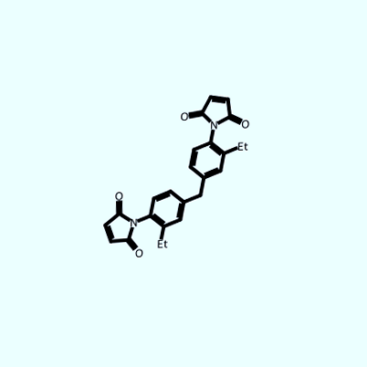 CCc1cc(Cc2ccc(N3C(=O)C=CC3=O)c(CC)c2)ccc1N1C(=O)C=CC1=O